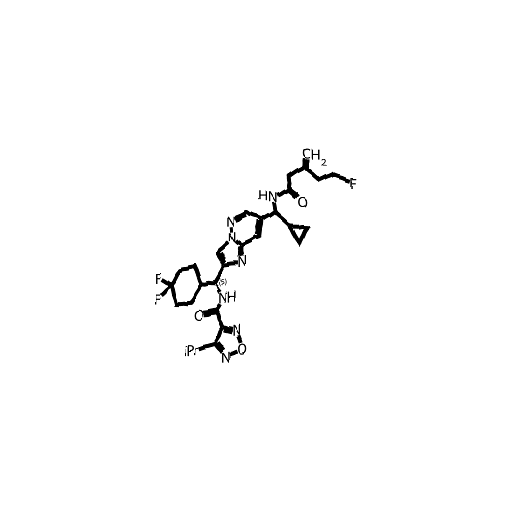 C=C(CCF)CC(=O)NC(c1cnn2cc([C@@H](NC(=O)c3nonc3C(C)C)C3CCC(F)(F)CC3)nc2c1)C1CC1